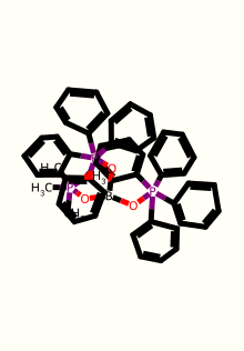 CP(C)(C)(C)OB(OP(c1ccccc1)(c1ccccc1)(c1ccccc1)c1ccccc1)OP(c1ccccc1)(c1ccccc1)(c1ccccc1)c1ccccc1